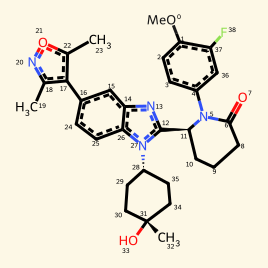 COc1ccc(N2C(=O)CCC[C@H]2c2nc3cc(-c4c(C)noc4C)ccc3n2[C@H]2CC[C@@](C)(O)CC2)cc1F